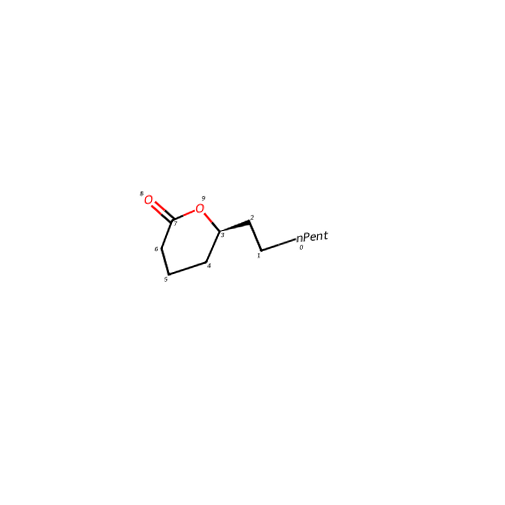 CCCCCCC[C@H]1CCCC(=O)O1